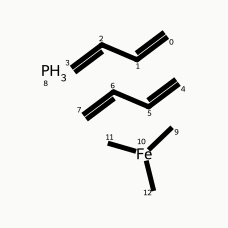 C=CC=C.C=CC=C.P.[CH3][Fe]([CH3])[CH3]